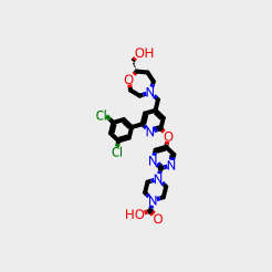 O=C(O)N1CCN(c2ncc(Oc3cc(CN4CCO[C@H](CO)CC4)cc(-c4cc(Cl)cc(Cl)c4)n3)cn2)CC1